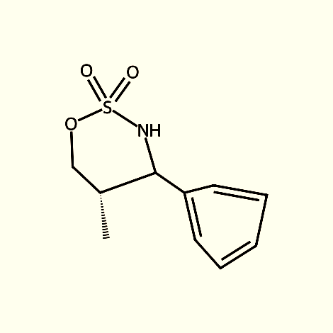 C[C@@H]1COS(=O)(=O)NC1c1ccccc1